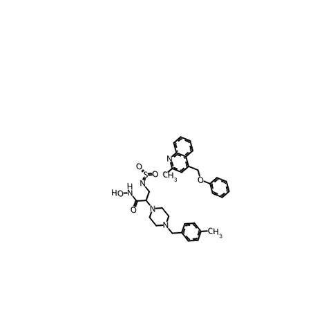 Cc1cc(COc2ccccc2)c2ccccc2n1.Cc1ccc(CN2CCN(C(CN=S(=O)=O)C(=O)NO)CC2)cc1